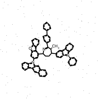 C[C@@H]1C(c2ccc(-c3ccccc3)cc2)=NC(c2cc(-n3c4ccccc4c4cc5ccccc5cc43)cc3oc4ccccc4c23)CCC1c1ccc2c(c1)c1ccccc1n2-c1ccccc1